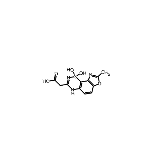 Cc1nc2c3c(ccc2o1)NC(CC(=O)O)=NS3(O)O